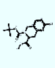 COC(=O)C1Cc2nc(Cl)ccc2CN1C(=O)OC(C)(C)C